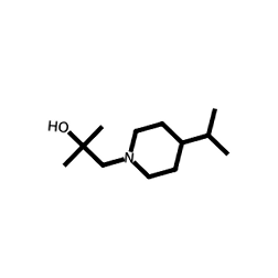 CC(C)C1CCN(CC(C)(C)O)CC1